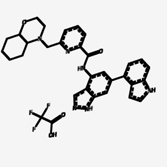 O=C(Nc1cc(-c2cccc3[nH]ccc23)cc2[nH]ncc12)c1cccc(CN2CCOC3CCCCC32)n1.O=C(O)C(F)(F)F